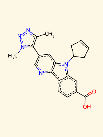 Cc1nnn(C)c1-c1cnc2c3ccc(C(=O)O)cc3n(C3CC=CC3)c2c1